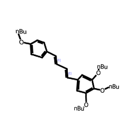 CCCCOc1ccc(/C=C/C=C/c2cc(OCCCC)c(OCCCC)c(OCCCC)c2)cc1